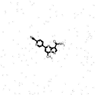 Cc1cc(-c2ccc(C#N)nc2)nc2c(C(N)=O)cnn12